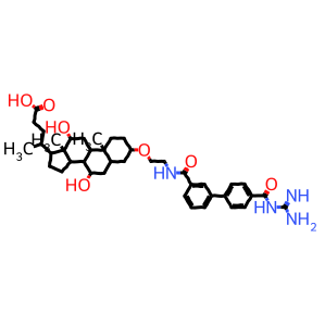 CC(CCC(=O)O)C1CCC2C3C(O)CC4CC(OCCNC(=O)c5cccc(-c6ccc(C(=O)NC(=N)N)cc6)c5)CCC4(C)C3CC(O)C12C